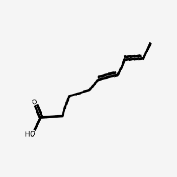 CC=CC=CCCCC(=O)O